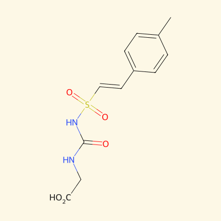 Cc1ccc(/C=C/S(=O)(=O)NC(=O)NCC(=O)O)cc1